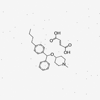 CCCCc1ccc(C(OC2CCN(C)CC2)c2ccccc2)cc1.O=C(O)/C=C/C(=O)O